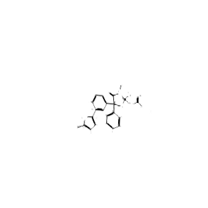 CN1C(=O)C(c2ccccc2)(c2cccc(-c3ccc(Cl)s3)c2)NC1(N)OC(=O)C(F)(F)F